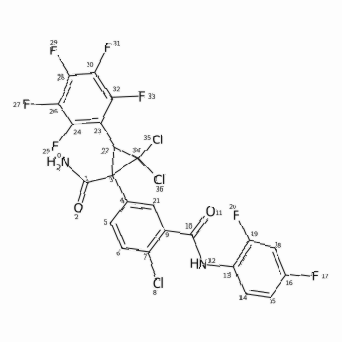 NC(=O)C1(c2ccc(Cl)c(C(=O)Nc3ccc(F)cc3F)c2)C(c2c(F)c(F)c(F)c(F)c2F)C1(Cl)Cl